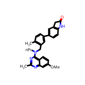 CCCN(Cc1cc(-c2ccc3c(c2)CC(=O)N3)ccc1C)c1nc(C)nc2cc(OC)ccc12